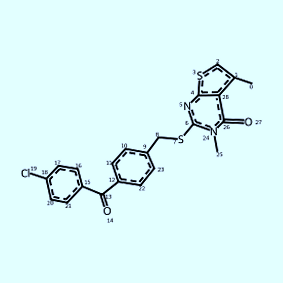 Cc1csc2nc(SCc3ccc(C(=O)c4ccc(Cl)cc4)cc3)n(C)c(=O)c12